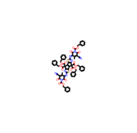 CC1=C(C#N)C(=O)N(C(=O)OCc2ccccc2)C(=O)/C1=N/c1nc2c(s1)C1=C(c3sc(/N=C4/C(=O)N(C(=O)OCc5ccccc5)C(=O)C(C#N)=C4C)nc3C1(C(=O)OCc1ccccc1)C(=O)OCc1ccccc1)C2(C(=O)OCc1ccccc1)C(=O)OCc1ccccc1